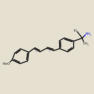 CCC(C)(N)c1ccc(/C=C/C=C/c2ccc(OC)cc2)cc1